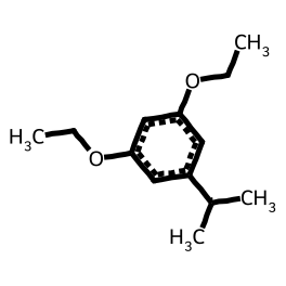 CCOc1cc(OCC)cc([C](C)C)c1